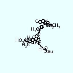 CC#C[C@@]1(O)CC[C@H]2[C@@H]3CCC4=CC(=O)CCC4=C3[C@@H](c3ccc(N(C)CCO[C@H]4CC[C@@]5(C)[C@@H](C4)C[C@@H](OC(=O)CCCCNC(=O)OC(C)(C)C)[C@@H]4[C@@H]5C[C@H](O)[C@]5(C)[C@@H]([C@H](C)CCC(=O)O)CC[C@@H]45)cc3)C[C@@]21C